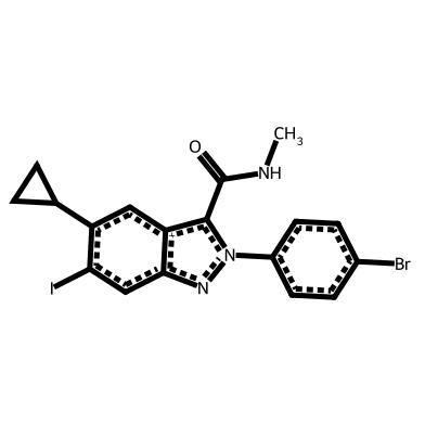 CNC(=O)c1c2cc(C3CC3)c(I)cc2nn1-c1ccc(Br)cc1